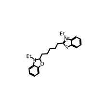 CCN1c2ccccc2OC1CCCCCc1sc2ccccc2[n+]1CC